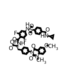 COc1ccc2c(c1)c(=O)n(-c1ccc(C[C@H](NC(=O)c3c(F)cc(NS(=O)(=O)c4ccc(C(=O)NC5CC5)cc4)cc3F)C(=O)O)cc1)c(=O)n2C